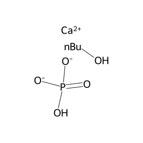 O=P([O-])([O-])O.[CH2]CCCO.[Ca+2]